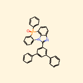 O=P1(c2ccccc2)c2ccccc2-n2c(-c3cc(-c4ccccc4)cc(-c4ccccc4)c3)nc3cccc1c32